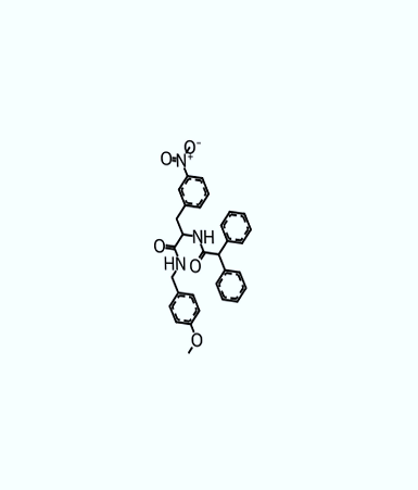 COc1ccc(CNC(=O)C(Cc2cccc([N+](=O)[O-])c2)NC(=O)C(c2ccccc2)c2ccccc2)cc1